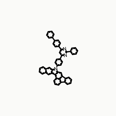 c1ccc(-c2ccc(-c3cc(-c4ccc(-n5c6cc7ccccc7cc6c6c7cccc8c7c(cc65)-c5ccccc5-8)cc4)nc(-c4ccccc4)n3)cc2)cc1